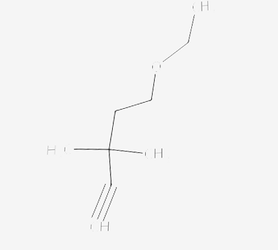 C#CC(C)(C)CCOCC